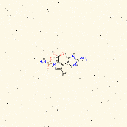 Nc1ncc(-c2ccn(S(N)(=O)=O)c2C(=O)[O-])cn1.[Na+]